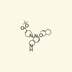 C/C=C1/CCCCC1COC1=C=CC2=C(CCNC2)C(N2CCC=C(C(=O)OC(C)(C)C)CC2)=N1